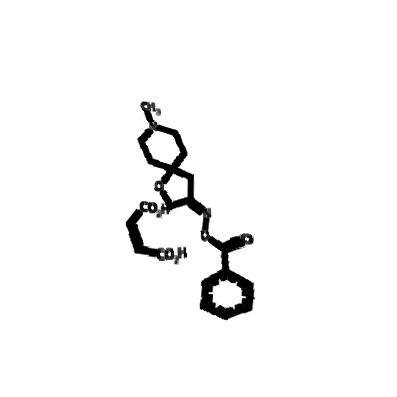 CN1CCC2(CC1)CC(=NOC(=O)c1ccccc1)CO2.O=C(O)/C=C\C(=O)O